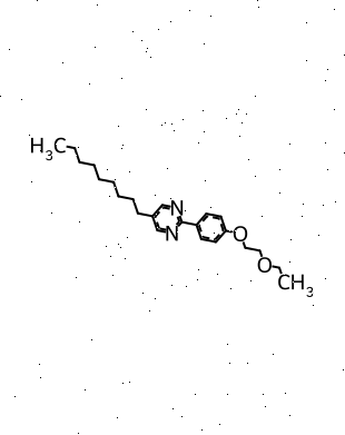 CCCCCCCCCc1cnc(-c2ccc(OCCOCC)cc2)nc1